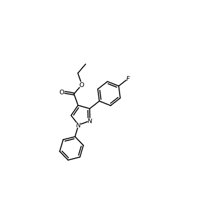 CCOC(=O)c1cn(-c2ccccc2)nc1-c1ccc(F)cc1